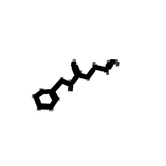 C=NOCC(=O)NCC1=CC=CCC1